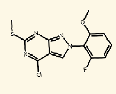 COc1cccc(F)c1-n1cc2c(Cl)nc(SC)nc2n1